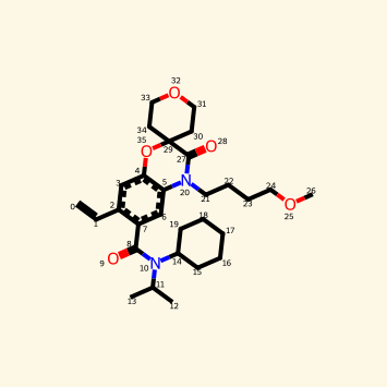 C=Cc1cc2c(cc1C(=O)N(C(C)C)C1CCCCC1)N(CCCCOC)C(=O)C1(CCOCC1)O2